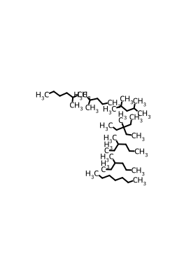 CC(C)CC(C)C.CCC(C)(CC)CC.CCCC(C)C.CCCC(C)CC.CCCC(C)CC.CCCCC(C)C.CCCCCCC